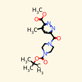 COC(=O)c1nnc(C(=O)N2CCN(C(=O)OC(C)(C)C)CC2)cc1C